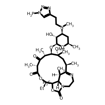 CC[C@H]1OC(=O)[C@H](C)C(=O)[C@H](C)[C@@H](O[C@@H]2O[C@H](C)C[C@H](N(C)CCc3cn(P)nn3)[C@H]2O)[C@](C)(OC)C[C@@H](C)C2=NCCN3C(=O)O[C@@]1(C)[C@@H]3[C@H]2C